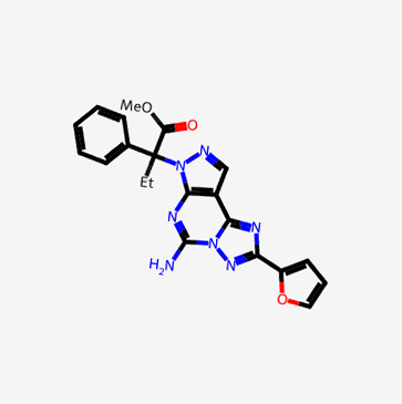 CCC(C(=O)OC)(c1ccccc1)n1ncc2c1nc(N)n1nc(-c3ccco3)nc21